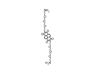 NCCCOCCOCCOCCCN1C(=O)c2ccc3c4c(ccc(c24)C1=O)C(=O)N(CCCOCCOCCOCCCN)C3=O